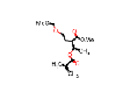 C=C(C)C(=O)OC(C)C(CCOCOC)C(=O)OC